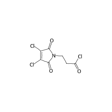 O=C(Cl)CCN1C(=O)C(Cl)=C(Cl)C1=O